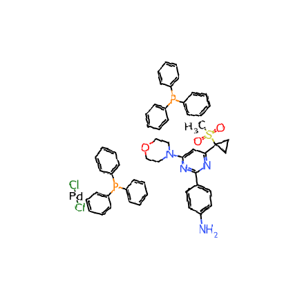 CS(=O)(=O)C1(c2cc(N3CCOCC3)nc(-c3ccc(N)cc3)n2)CC1.[Cl][Pd][Cl].c1ccc(P(c2ccccc2)c2ccccc2)cc1.c1ccc(P(c2ccccc2)c2ccccc2)cc1